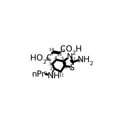 CCCN[C@H]1CCc2nc(N)sc2C1.O=C(O)C=CC(=O)O